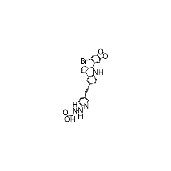 O=C(O)CNNc1ccc(C#Cc2ccc3c(c2)C2C=CCC2C(c2cc4c(cc2Br)OCO4)N3)cn1